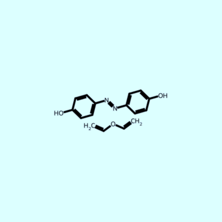 C=COC=C.Oc1ccc(/N=N/c2ccc(O)cc2)cc1